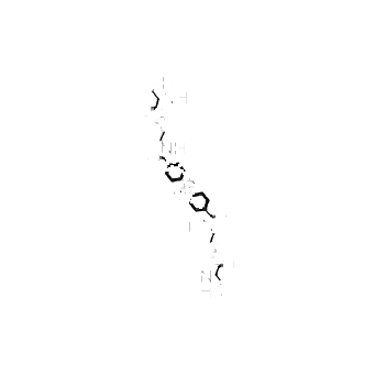 N[C@@H](CS)C(=O)SSCCNC(=O)c1ccc(S(=O)(=O)c2ccc(C(=O)NCCSSC(=O)[C@@H](N)CS)cc2)cc1